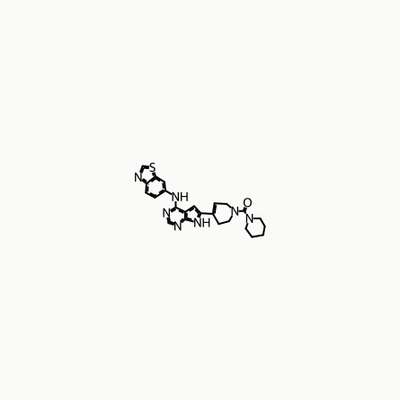 O=C(N1CC=C(c2cc3c(Nc4ccc5ncsc5c4)ncnc3[nH]2)CC1)N1CCCCC1